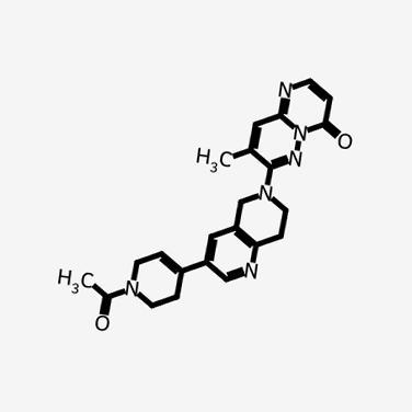 CC(=O)N1CC=C(c2cnc3c(c2)CN(c2nn4c(=O)ccnc4cc2C)CC3)CC1